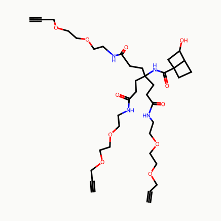 C#CCOCCOCCNC(=O)CCC(CCC(=O)NCCOCCOCC#C)(CCC(=O)NCCOCCOCC#C)NC(=O)C12CCC1C(O)C2